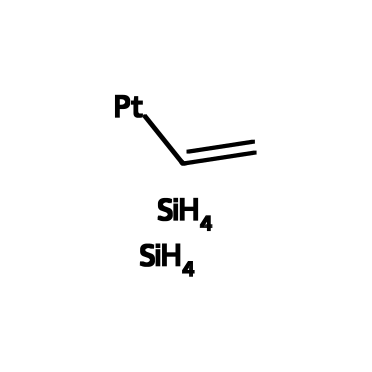 C=[CH][Pt].[SiH4].[SiH4]